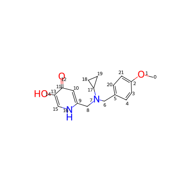 COc1ccc(CN(Cc2cc(=O)c(O)c[nH]2)C2CC2)cc1